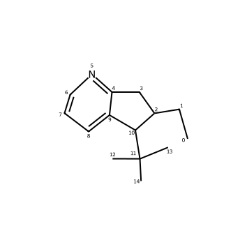 CCC1Cc2ncccc2C1C(C)(C)C